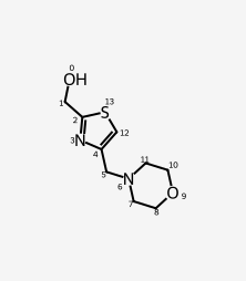 OCc1nc(CN2CCOCC2)cs1